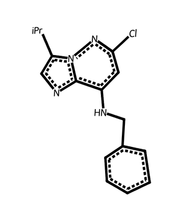 CC(C)c1cnc2c(NCc3ccccc3)cc(Cl)nn12